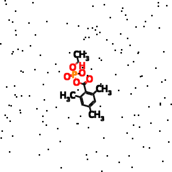 CCOP(=O)(O)OC(=O)c1c(C)cc(C)cc1C